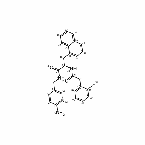 Nc1ccc(CNC(=O)C(Cc2cccc3ccccc23)NC(=O)Cc2ccccc2F)cn1